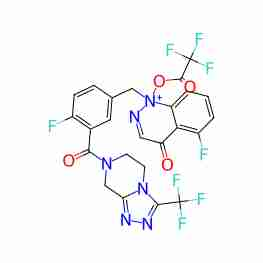 O=C1C=N[N+](Cc2ccc(F)c(C(=O)N3CCn4c(nnc4C(F)(F)F)C3)c2)(OC(=O)C(F)(F)F)c2cccc(F)c21